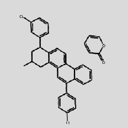 CC1Cc2c(ccc3c2cc(-c2ccc(Cl)cc2)c2ccccc23)C(c2cccc(Cl)c2)C1.O=c1cccco1